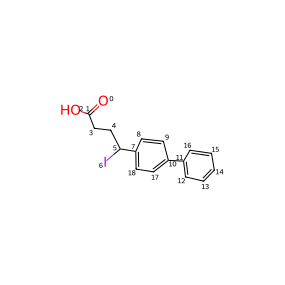 O=C(O)CCC(I)c1ccc(-c2ccccc2)cc1